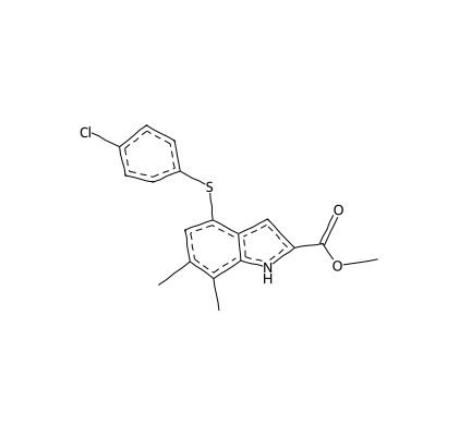 COC(=O)c1cc2c(Sc3ccc(Cl)cc3)cc(C)c(C)c2[nH]1